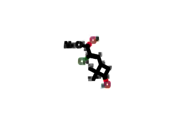 COC(=O)/C(Cl)=C/C1CC(=O)C1(C)C